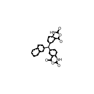 O=c1[nH]c2ccc(C(c3ccc4ccccc4c3)c3ccc4[nH]c(=O)oc(=O)c4c3)cc2c(=O)o1